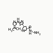 CN(C)c1ccnc(Nc2ncc(-c3cncc(C(=O)NCCN)c3)s2)c1